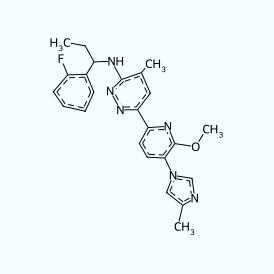 CCC(Nc1nnc(-c2ccc(-n3cnc(C)c3)c(OC)n2)cc1C)c1ccccc1F